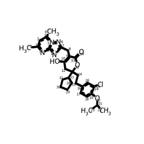 Cc1cc(C)n2nc(CC3=C(O)CC(CCc4ccc(OC(C)C)c(Cl)c4)(C4CCCC4)OC3=O)nc2n1